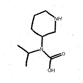 CC(C)N(C(=O)O)C1CCCNC1